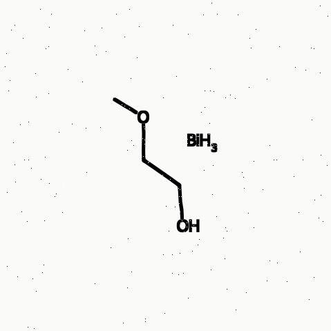 COCCO.[BiH3]